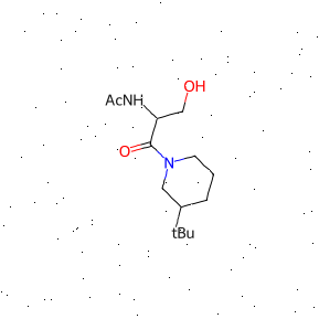 CC(=O)NC(CO)C(=O)N1CCCC(C(C)(C)C)C1